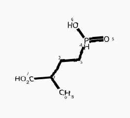 CC(CC[PH](=O)O)C(=O)O